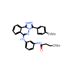 COCCC(=O)Nc1cccc(Nc2nn3c(-c4ccc(OC)cc4)nnc3c3ccccc23)c1